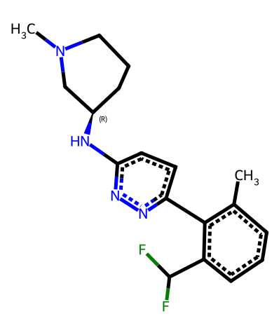 Cc1cccc(C(F)F)c1-c1ccc(N[C@@H]2CCCN(C)C2)nn1